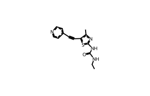 CCNC(=O)Nc1nc(C)c(C#Cc2ccncc2)s1